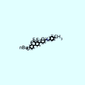 CCCCOc1ccc(-c2ccc(C3CCC(/C=C/c4ccc(C)cc4)OC3)c(F)c2C(F)F)cc1